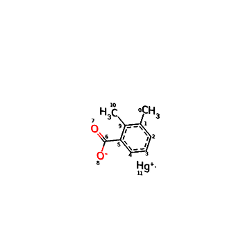 Cc1cccc(C(=O)[O-])c1C.[Hg+]